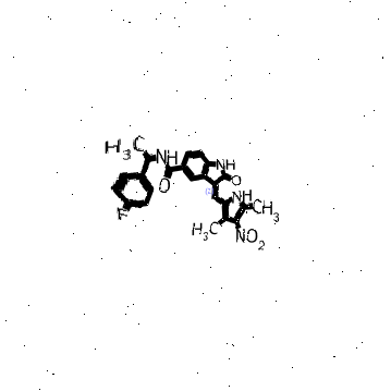 Cc1[nH]c(/C=C2\C(=O)Nc3ccc(C(=O)NC(C)c4ccc(F)cc4)cc32)c(C)c1[N+](=O)[O-]